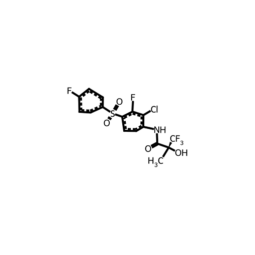 C[C@@](O)(C(=O)Nc1ccc(S(=O)(=O)c2ccc(F)cc2)c(F)c1Cl)C(F)(F)F